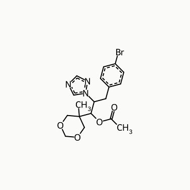 CC(=O)OC(C(Cc1ccc(Br)cc1)n1cncn1)C1(C)COCOC1